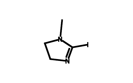 CN1CCN=C1I